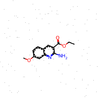 CCOC(=O)c1cc2ccc(OC)cc2nc1N